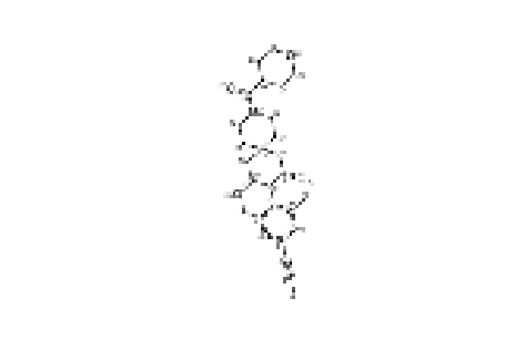 CC#Cc1cc(C)c(C2C(=O)CC3(CCN(C(=O)C4CCOCC4)CC3)CC2=O)c(C)c1